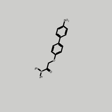 CC(C)N(C(=O)COc1ccc(-c2ccc([N+](=O)[O-])cc2)cc1)C(C)C